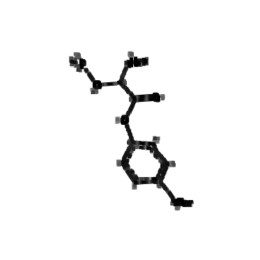 CCCCCCCCCCc1ccc(OC(=O)C(CCCCCC)OP)cc1